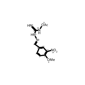 COc1ccc(C=NNC(=N)NOC(C)=O)cc1[N+](=O)[O-]